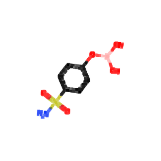 NS(=O)(=O)c1ccc(OB(O)O)cc1